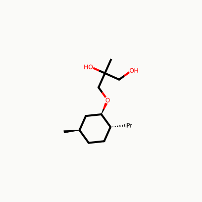 CC(C)[C@@H]1CC[C@@H](C)C[C@H]1OCC(C)(O)CO